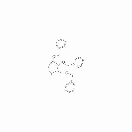 CC1CC[C@@H](OCc2ccccc2)C(OCc2ccccc2)C1COCc1ccccc1